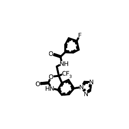 O=C1Nc2ccc(-n3cncn3)cc2C(CNC(=O)c2ccc(F)cc2)(C(F)(F)F)O1